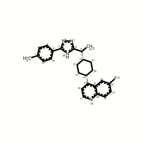 Cc1ccc(-c2nnc(C(C)[C@H]3CC[C@@H](c4ccnc5ccc(F)cc54)CC3)[nH]2)cc1